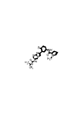 CC(C)OC(=O)Nc1cnc2nc(-c3cc(NC(=O)c4cccn4C)ccc3F)cn2c1